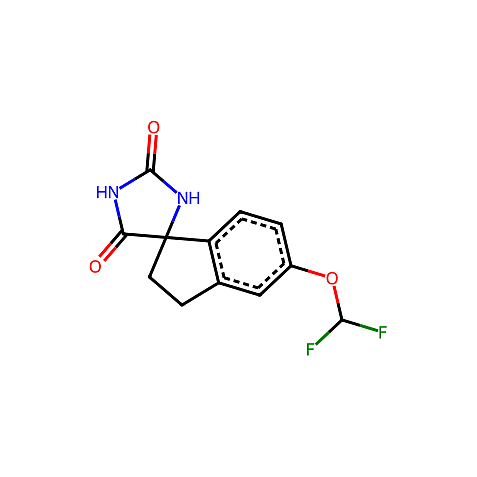 O=C1NC(=O)C2(CCc3cc(OC(F)F)ccc32)N1